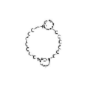 c1cc2c[n+](c1)CCCCCCCC[n+]1cccc(c1)CCCCCC2